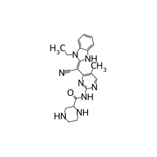 CCN1/C(=C(\C#N)c2nc(NC(=O)C3CNCCN3)ncc2C)Nc2ccccc21